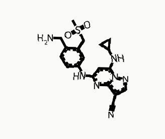 CS(=O)(=O)Cc1cc(Nc2cc(NC3CC3)n3ncc(C#N)c3n2)ccc1CN